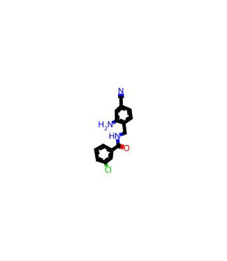 N#Cc1ccc(CNC(=O)c2cccc(Cl)c2)c(N)c1